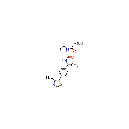 Cc1ncsc1-c1ccc(C(C)NC(=O)[C@@H]2CCCN2C(=O)CC(C)(C)C)cc1